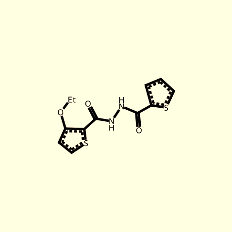 CCOc1ccsc1C(=O)NNC(=O)c1cccs1